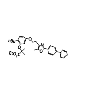 CCCCc1ccc(OCCc2nc(-c3ccc(-c4ccccc4)cc3)oc2C)cc1OC(C)(C)C(=O)OCC